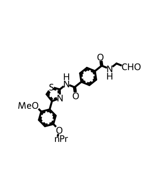 CCCOc1ccc(OC)c(-c2csc(NC(=O)c3ccc(C(=O)NCC=O)cc3)n2)c1